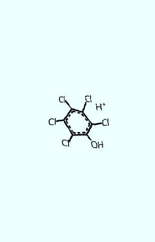 Oc1c(Cl)c(Cl)c(Cl)c(Cl)c1Cl.[H+]